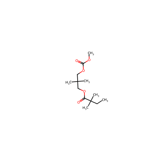 CCC(C)(C)C(=O)OCC(C)(C)COC(=O)OC